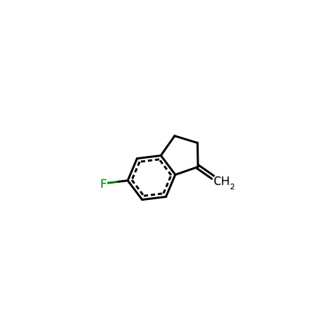 C=C1CCc2cc(F)ccc21